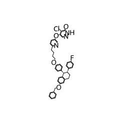 O=c1[nH]ncc(Oc2ccc(CCCCOc3ccc([C@@H]4c5ccc(OCc6ccccc6)cc5CC[C@@H]4c4ccc(F)cc4)cc3)nc2)c1Cl